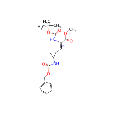 COC(=O)/C(=C/C1CC1NC(=O)OCc1ccccc1)NC(=O)OC(C)(C)C